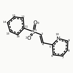 O=S(=O)(C=Cc1ccccn1)c1ccccc1